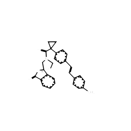 Cc1ccc(C=Cc2ccc(C3(C(=O)N4CC[C@@]5(C4)OC(=O)c4ccccc45)CC3)cc2)cc1